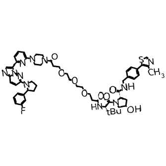 Cc1ncsc1-c1ccc(CNC(=O)[C@@H]2C[C@@H](O)CN2C(=O)[C@@H](NC(=O)CCOCCOCCOCCC(=O)N2CCN(c3cccc(-c4cnc5ccc(N6CCCC6c6cccc(F)c6)nn45)n3)CC2)C(C)(C)C)cc1